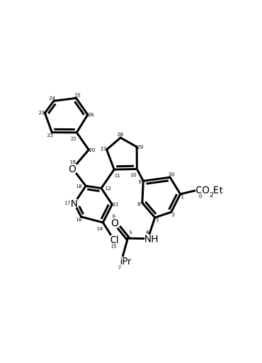 CCOC(=O)c1cc(NC(=O)C(C)C)cc(C2=C(c3cc(Cl)cnc3OCc3ccccc3)CCC2)c1